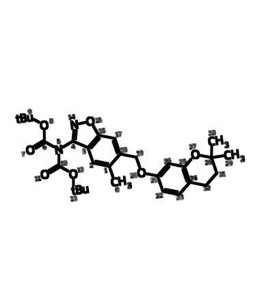 Cc1cc2c(N(C(=O)OC(C)(C)C)C(=O)OC(C)(C)C)noc2cc1COc1ccc2c(c1)OC(C)(C)CC2